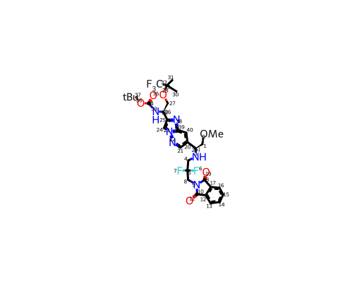 COC[C@@H](NCC(F)(F)CN1C(=O)c2ccccc2C1=O)c1cnn2cc([C@H](COC(C)(C)C(F)(F)F)NC(=O)OC(C)(C)C)nc2c1